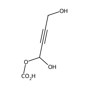 O=C(O)OC(O)C#CCO